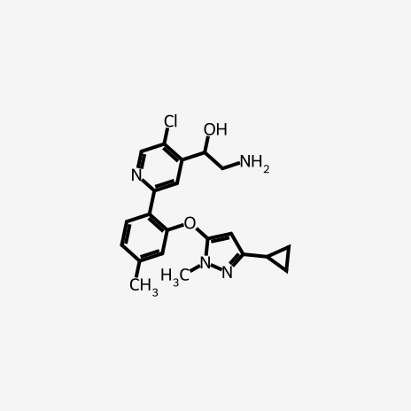 Cc1ccc(-c2cc(C(O)CN)c(Cl)cn2)c(Oc2cc(C3CC3)nn2C)c1